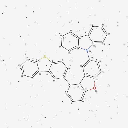 C1=CC(c2ccc3sc4ccccc4c3c2)C2C(=C1)Oc1ccc(-n3c4ccccc4c4ccccc43)cc12